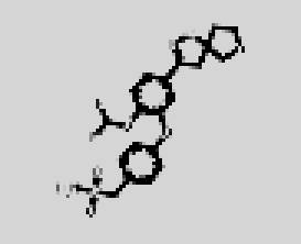 NS(=O)(=O)Cc1ccc(Oc2cc(C3=NOC4(CCOC4)C3)ccc2OC(F)F)cc1